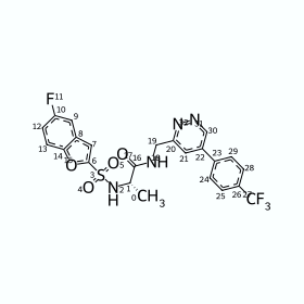 C[C@H](NS(=O)(=O)c1cc2cc(F)ccc2o1)C(=O)NCc1cc(-c2ccc(C(F)(F)F)cc2)cnn1